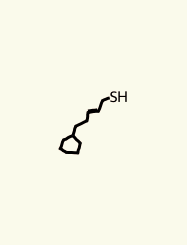 SC/C=C/CCC1CCCCC1